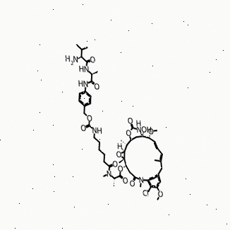 COc1cc2cc(c1Cl)N(C)C(=O)C[C@H](OC(=O)[C@H](C)N(C)C(=O)CCCCCNC(=O)OCc1ccc(NC(=O)[C@H](C)NC(=O)[C@@H](N)C(C)C)cc1)[C@]1(C)O[C@H]1[C@H](C)C1C[C@@](O)(NC(=O)O1)[C@H](OC)/C=C/C=C(\C)C2